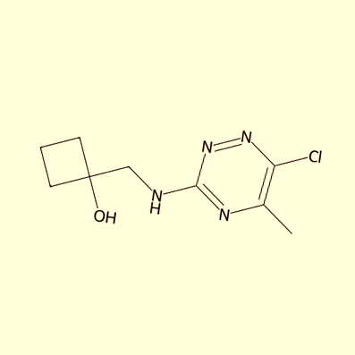 Cc1nc(NCC2(O)CCC2)nnc1Cl